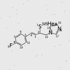 CCCCCCSC(C=Cc1ccc(F)cc1)Cn1ccnc1